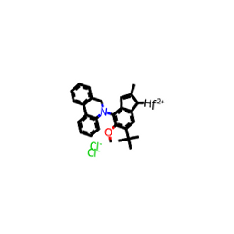 COc1c(C(C)(C)C)cc2c(c1N1Cc3ccccc3-c3ccccc31)C=C(C)[CH]2[Hf+2].[Cl-].[Cl-]